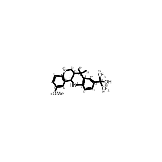 COc1ccc2c(c1)C1Nc3ccc(C(O)(C(F)(F)F)C(F)(F)F)cc3C(C)(C)C1CS2